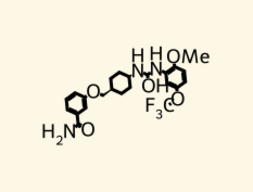 COc1ccc(OC(F)(F)F)cc1NC(O)N[C@H]1CC[C@H](COc2cccc(C(N)=O)c2)CC1